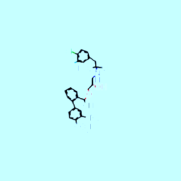 CC(OC[C@@H](O)CNC(C)(C)Cc1ccc(Cl)c(F)c1)c1ccccc1-c1ccc(C(=O)O)c(C(C)(C)C)c1